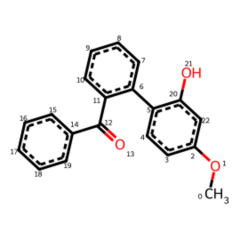 COc1ccc(-c2ccccc2C(=O)c2ccccc2)c(O)c1